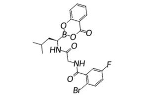 CC(C)C[C@H](NC(=O)CNC(=O)c1cc(F)ccc1Br)B1OC(=O)c2ccccc2O1